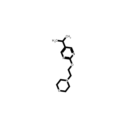 CC(C)c1cnc(OCCN2CCOCC2)nc1